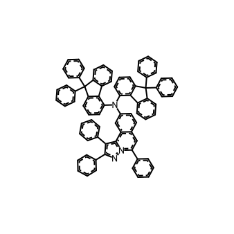 c1ccc(-c2nn3c(-c4ccccc4)cc4ccc(N(c5cccc6c5-c5ccccc5C6(c5ccccc5)c5ccccc5)c5cccc6c5-c5ccccc5C6(c5ccccc5)c5ccccc5)cc4c3c2-c2ccccc2)cc1